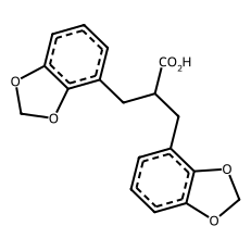 O=C(O)C(Cc1cccc2c1OCO2)Cc1cccc2c1OCO2